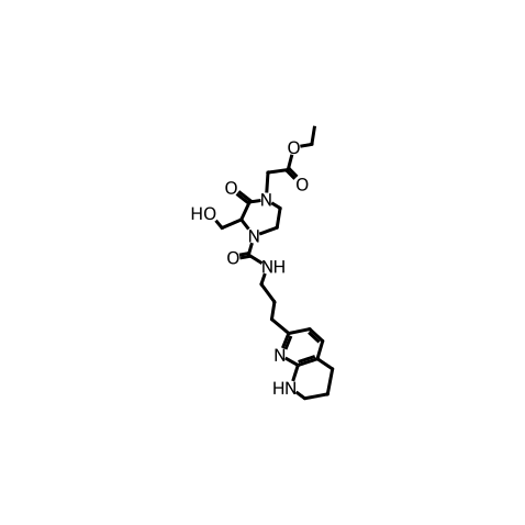 CCOC(=O)CN1CCN(C(=O)NCCCc2ccc3c(n2)NCCC3)C(CO)C1=O